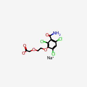 NC(=O)c1c(Cl)cc(Cl)c(OCCOCC(=O)[O-])c1Cl.[Na+]